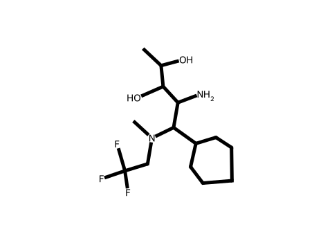 CC(O)C(O)C(N)C(C1CCCCC1)N(C)CC(F)(F)F